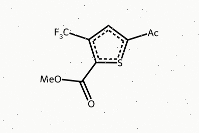 COC(=O)c1sc(C(C)=O)cc1C(F)(F)F